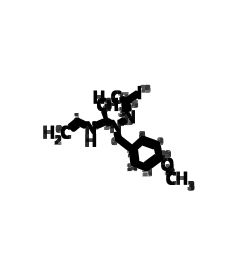 C=CN[C@@H](C)N(Cc1ccc(OC)cc1)/N=C(\C)I